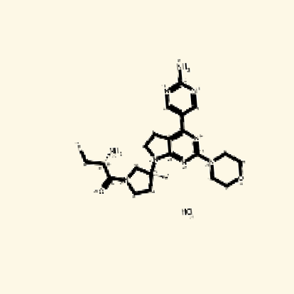 C[C@]1(N2CCc3c(-c4cnc(N)nc4)nc(N4CCOCC4)nc32)CCN(C(=O)[C@@H](N)CF)C1.Cl